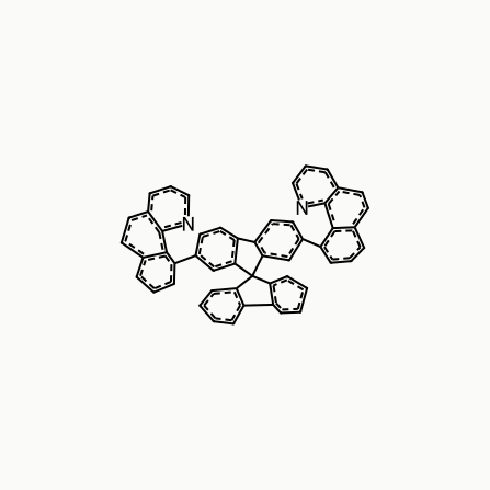 c1ccc2c(c1)-c1ccccc1C21c2cc(-c3cccc4ccc5cccnc5c34)ccc2-c2ccc(-c3cccc4ccc5cccnc5c34)cc21